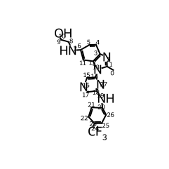 Cc1nc2ccc(NCCO)cc2n1-c1cncc(Nc2ccc(C(F)(F)F)cc2)n1